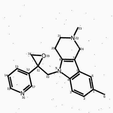 Cc1ccc2c(c1)c1c(n2CC2(c3cccnc3)CO2)CCN(C)C1